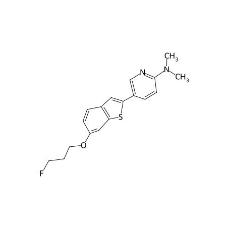 CN(C)c1ccc(-c2cc3ccc(OCCCF)cc3s2)cn1